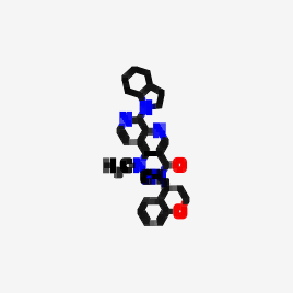 CN(C)c1c(C(=O)N[C@H]2CCOc3ccccc32)cnc2c(N3CCC4CCCCC43)nccc12